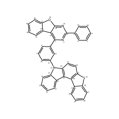 c1ccc(-c2nc(-c3cccc(-n4c5ccccc5c5c6c(ccc54)sc4ccccc46)c3)c3c(n2)oc2ccccc23)cc1